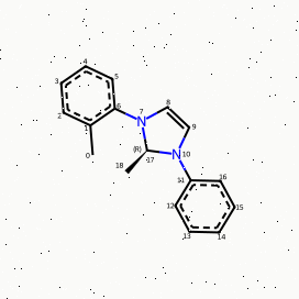 Cc1ccccc1N1C=CN(c2ccccc2)[C@H]1C